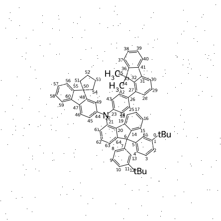 CC(C)(C)c1cccc(C2(c3cccc(C(C)(C)C)c3)c3ccccc3-c3c(N(c4ccc(-c5cccc6c5C(C)(C)c5ccccc5-6)cc4)c4ccc5c(c4)C4(CCCC4)c4ccccc4-5)cccc32)c1